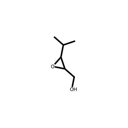 CC(C)C1OC1CO